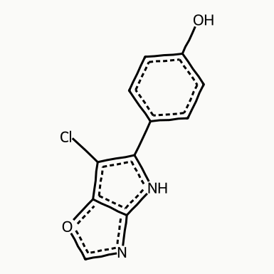 Oc1ccc(-c2[nH]c3ncoc3c2Cl)cc1